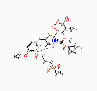 COc1ccc(C[C@@H](C[C@H](NC(=O)OC(C)(C)C)[C@@H](O)C[C@@H](C)C(=O)O)C(C)C)cc1OCCCS(C)(=O)=O